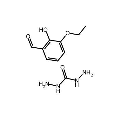 CCOc1cccc(C=O)c1O.NNC(=O)NN